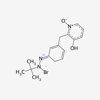 CC(C)(C)N(Br)/N=C1/C=C(Cc2c(O)ccc[n+]2[O-])C=CC1